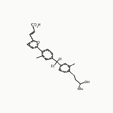 CCC(CC)(c1ccc(CCC(O)C(C)(C)C)c(C)c1)c1ccc(-c2ccc(C=CC(=O)O)o2)c(C)c1